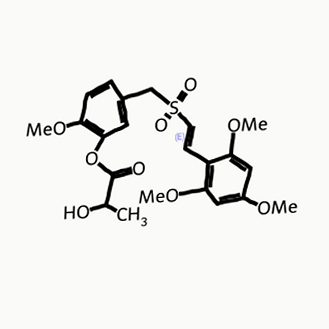 COc1cc(OC)c(/C=C/S(=O)(=O)Cc2ccc(OC)c(OC(=O)C(C)O)c2)c(OC)c1